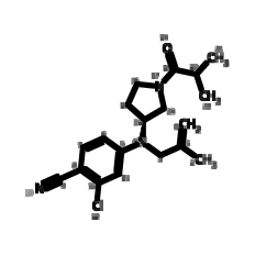 C=C(C)CN(c1ccc(C#N)c(Cl)c1)[C@H]1CCN(C(=O)C(C)C)C1